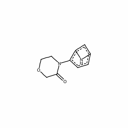 O=C1COCCN1c1ccc2cc1N2